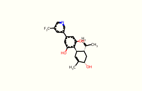 C=C(C)[C@@H]1C[C@H](O)C(C)=C[C@H]1c1c(O)cc(-c2cncc(C(F)(F)F)c2)cc1O